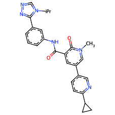 CC(C)n1cnnc1-c1cccc(NC(=O)c2cc(-c3ccc(C4CC4)nc3)cn(C)c2=O)c1